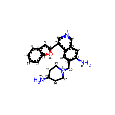 Nc1cc2cncc(-c3cc4ccccc4o3)c2cc1CN1CCC(N)CC1